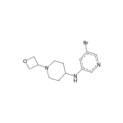 Brc1cncc(NC2CCN(C3COC3)CC2)c1